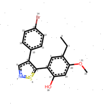 CCc1cc(-c2sncc2-c2ccc(Br)cc2)c(O)cc1OC